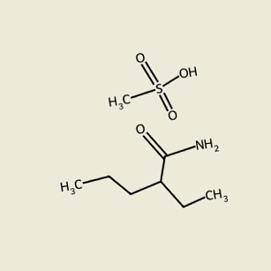 CCCC(CC)C(N)=O.CS(=O)(=O)O